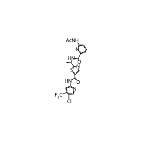 CC(=O)Nc1cccc(C(=O)N[C@H](C)c2ncc(C(=O)Nc3cc(C(F)(F)F)c(Cl)cn3)s2)n1